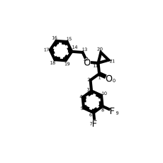 O=C(Cc1ccc(F)c(F)c1)C1(OCc2ccccc2)CC1